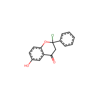 O=C1CC(Cl)(c2ccccc2)Oc2ccc(O)cc21